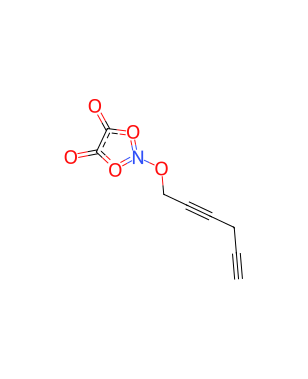 C#CCC#CCOn1oc(=O)c(=O)o1